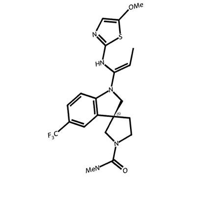 CC=C(Nc1ncc(OC)s1)N1C[C@]2(CCN(C(=O)NC)C2)c2cc(C(F)(F)F)ccc21